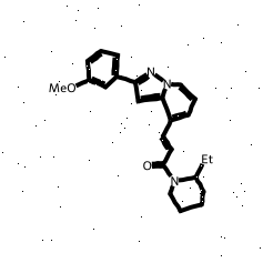 CCC1CCCCN1C(=O)C=Cc1cccn2nc(-c3cccc(OC)c3)cc12